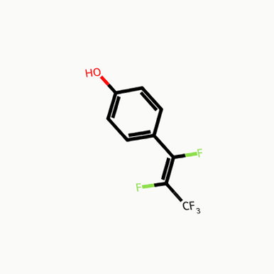 Oc1ccc(C(F)=C(F)C(F)(F)F)cc1